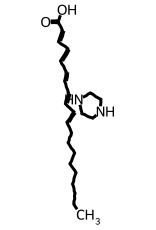 C1CNCCN1.CCCCCCCCCC=CC=CC=CC=CC=CC(=O)O